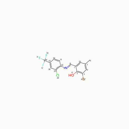 Cc1cc(Br)c(O)c(/C=N/c2ccc(C(F)(F)F)cc2Cl)c1